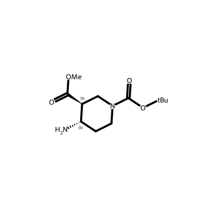 COC(=O)[C@H]1CN(C(=O)OC(C)(C)C)CC[C@@H]1N